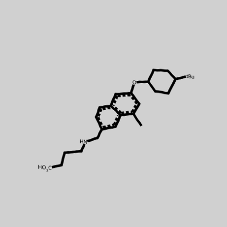 Cc1cc(OC2CCC(C(C)(C)C)CC2)cc2ccc(CNCCCC(=O)O)cc12